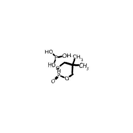 CC1(C)CO[PH](=O)OC1.OP(O)O